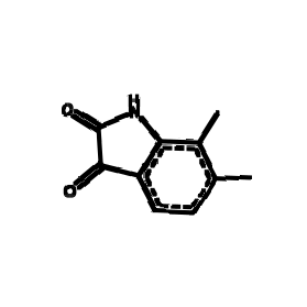 Cc1ccc2c(c1C)NC(=O)C2=O